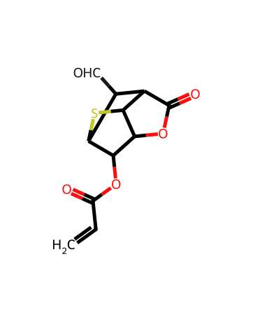 C=CC(=O)OC1C2OC(=O)C3C(C=O)C1SC23